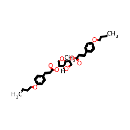 CCCCOc1ccc(/C=C/C(=O)O[C@@H]2CO[C@@]3(C)[C@H](OC(=O)/C=C/c4ccc(OCCCC)cc4)CO[C@@H]23)cc1